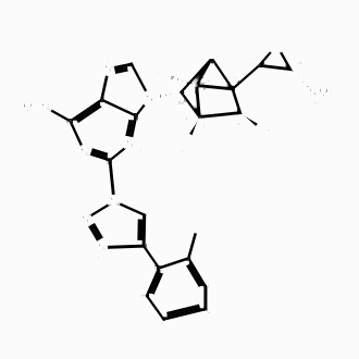 CNc1nc(-n2cc(-c3ccccc3Cl)nn2)nc2c1ncn2[C@@H]1C2[C@H]3C2(C2O[C@@H]2NC)[C@@H](O)[C@]13O